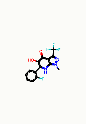 Cn1nc(C(F)(F)F)c2c(=O)c(O)c(-c3ccccc3F)[nH]c21